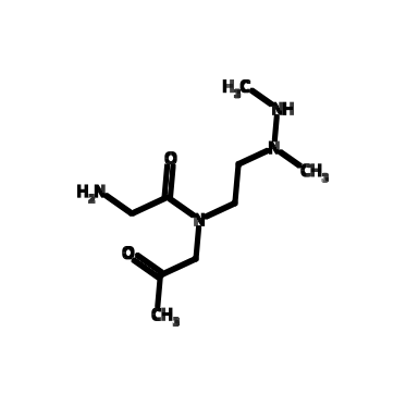 CNN(C)CCN(CC(C)=O)C(=O)CN